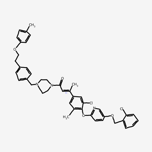 C/C(=C\C(=O)N1CCN(Cc2ccc(CCOc3ccc(C)cc3)cc2)CC1)c1cc(C)c(Oc2ccc(OCc3ccccc3Cl)cn2)c(Cl)c1